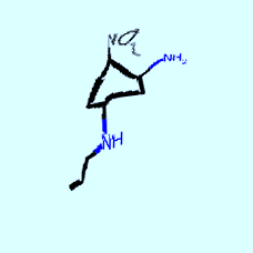 C=CCNc1ccc([N+](=O)[O-])c(N)c1